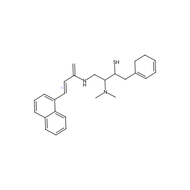 C=C(/C=C/c1cccc2ccccc12)NCC(C(S)CC1=CC=CCC1)N(C)C